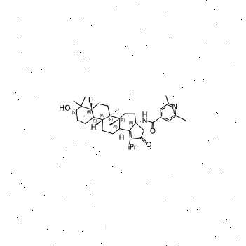 Cc1cc(C(=O)N[C@@]23CC[C@]4(C)[C@H](CC[C@@H]5[C@@]6(C)CC[C@H](O)C(C)(C)[C@@H]6CC[C@]54C)C2=C(C(C)C)C(=O)C3)cc(C)n1